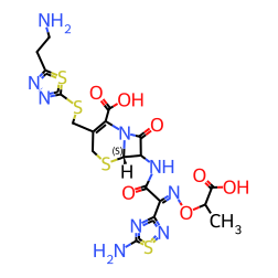 CC(ON=C(C(=O)NC1C(=O)N2C(C(=O)O)=C(CSc3nnc(CCN)s3)CS[C@@H]12)c1nsc(N)n1)C(=O)O